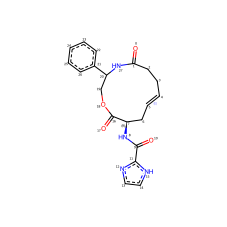 O=C1CC/C=C/C[C@@H](NC(=O)c2ncc[nH]2)C(=O)OCC(c2ccccc2)N1